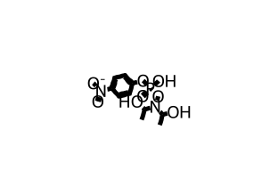 CC(O)N(OP(=O)(O)Oc1ccc([N+](=O)[O-])cc1)C(C)O